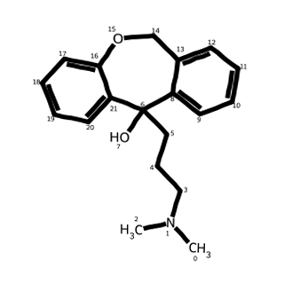 CN(C)CCCC1(O)c2ccccc2COc2ccccc21